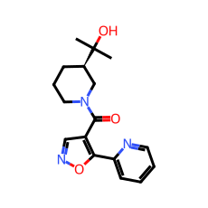 CC(C)(O)[C@@H]1CCCN(C(=O)c2cnoc2-c2ccccn2)C1